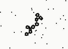 c1ccc(-c2cccc(N(c3ccccc3)c3ccc(-c4cccc(-c5ccc6c(c5)C5(CC7CCC5C7)c5ccccc5-6)c4)cc3)c2)cc1